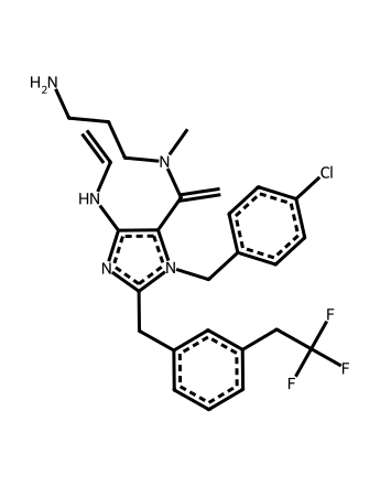 C=CNc1nc(Cc2cccc(CC(F)(F)F)c2)n(Cc2ccc(Cl)cc2)c1C(=C)N(C)CCCN